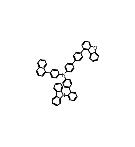 c1ccc(-n2c3ccccc3c3ccccc32)c(-c2ccc(N(c3ccc(-c4ccc(-c5cccc6oc7ccccc7c56)cc4)cc3)c3ccc(-c4cccc5ccccc45)cc3)cc2)c1